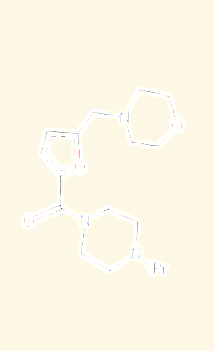 CC(C)N1CCN(C(=O)c2ccc(CN3CCOCC3)o2)CC1